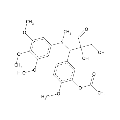 COc1ccc([C@H](N(C)c2cc(OC)c(OC)c(OC)c2)C(O)(C=O)CO)cc1OC(C)=O